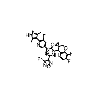 Cc1n[nH]c(C)c1-c1ncc(NC(=O)[C@@H](NC(=O)c2nonc2C(C)C)C2c3ccc(F)c(F)c3OCC23CC3)cc1F